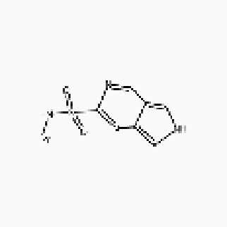 CC(C)NS(=O)(=O)c1ncc2c[nH]cc2n1